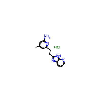 Cc1cc(N)nc(CCc2nc3cccnc3[nH]2)c1.Cl